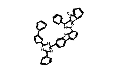 c1ccc(-c2cccc(-c3nc(-c4ccccc4)nc(-c4ccc5c(c4)sc4c(-c6nc(-c7ccccc7)c7sc8ccccc8c7n6)cccc45)n3)c2)cc1